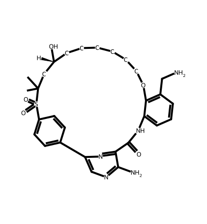 CC1(C)C[C@H](O)CCCCCCOc2c(CN)cccc2NC(=O)c2nc(cnc2N)-c2ccc(cc2)S1(=O)=O